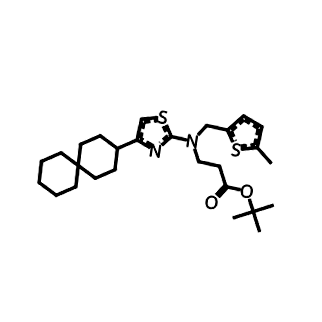 Cc1ccc(CN(CCC(=O)OC(C)(C)C)c2nc(C3CCC4(CCCCC4)CC3)cs2)s1